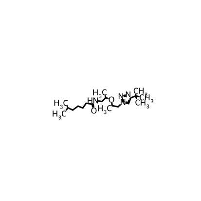 CC(C)CCCCC(=O)NCC(C)OC(C)Cn1cc(C(C)(C)C)nn1